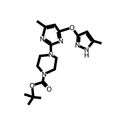 Cc1cc(Oc2cc(C)[nH]n2)nc(N2CCN(C(=O)OC(C)(C)C)CC2)n1